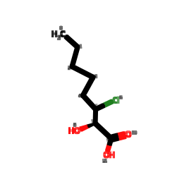 CCCCCC(Cl)[C@H](O)C(=O)O